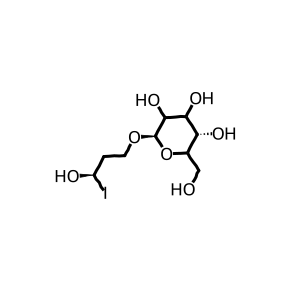 OCC1O[C@@H](OCC[C@H](O)I)C(O)C(O)[C@@H]1O